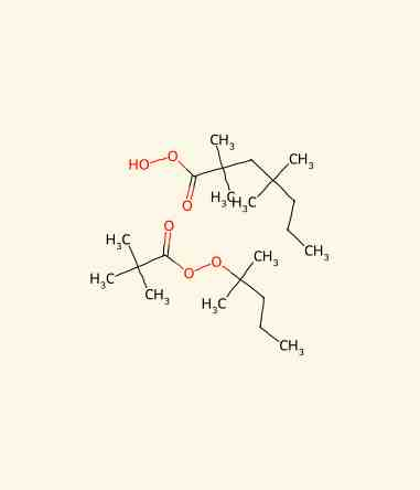 CCCC(C)(C)CC(C)(C)C(=O)OO.CCCC(C)(C)OOC(=O)C(C)(C)C